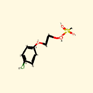 CS(=O)(=O)OCCOc1ccc(Cl)cc1